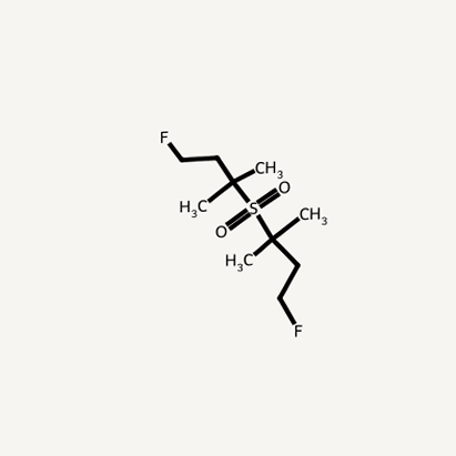 CC(C)(CCF)S(=O)(=O)C(C)(C)CCF